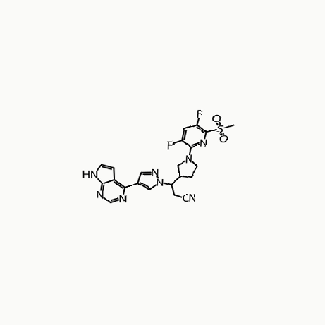 CS(=O)(=O)c1nc(N2CCC(C(CC#N)n3cc(-c4ncnc5[nH]ccc45)cn3)C2)c(F)cc1F